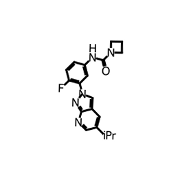 CC(C)c1cnc2nn(-c3cc(NC(=O)N4CCC4)ccc3F)cc2c1